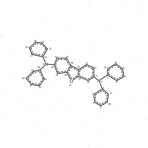 c1ccc(N(c2ccccc2)c2ccc3c(c2)oc2cc(N(c4ccccc4)c4ccccc4)ccc23)cc1